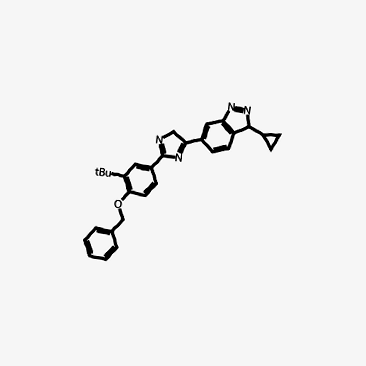 CC(C)(C)c1cc(C2=NCC(c3ccc4c(c3)N=NC4C3CC3)=N2)ccc1OCc1ccccc1